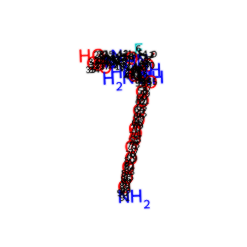 C#C/C=C(\C=C(\F)CCOc1ccc2nc3c(c(CC)c2c1)Cn1c-3cc(CO)c(COC(=O)CC)c1=O)NC(=O)[C@H](CCCNC(N)=O)NC(=O)C(NC(=O)CCOCCOCCOCCOCCOOCOCCOCCOCCOCCOCCOCCN)C(C)C